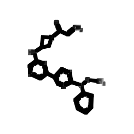 C=CC(=O)N1CC(Nc2cncc(-c3cnc(N(OC(F)(F)F)c4ccccc4)nc3)n2)C1